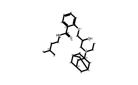 CCN(CC(O)COc1ccccc1C(=O)NCCC(C)C)C12CC3CC(CC(C3)C1)C2